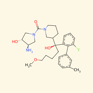 COCCCC[C@@](O)(c1cccc(F)c1-c1cccc(C)c1)C1CCCN(C(=O)N2C[C@@H](N)[C@H](O)C2)C1